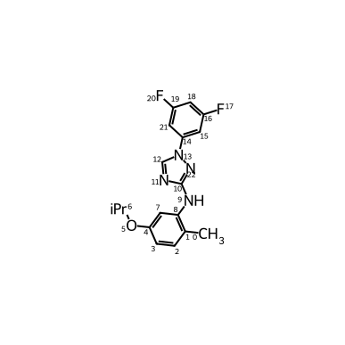 Cc1ccc(OC(C)C)cc1Nc1ncn(-c2cc(F)cc(F)c2)n1